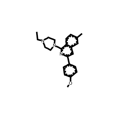 CCN1CCN(c2nc(-c3ccc(OC)cc3)cc3cc(C)ccc23)CC1